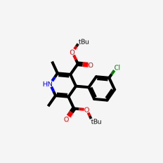 CC1=C(C(=O)OC(C)(C)C)C(c2cccc(Cl)c2)C(C(=O)OC(C)(C)C)=C(C)N1